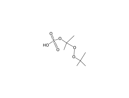 CC(C)(C)OOC(C)(C)OS(=O)(=O)O